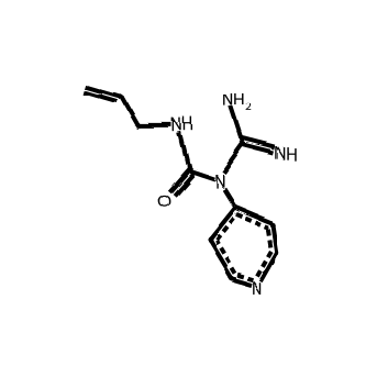 C=CCNC(=O)N(C(=N)N)c1ccncc1